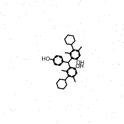 Cc1cc(O)c(C(c2ccc(O)cc2)c2c(O)cc(C)c(C3CCCCC3)c2C)c(C)c1C1CCCCC1